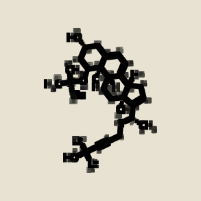 CCC(O)(C#CCS[C@@H](C)C1=CC[C@H]2C3=CC=C4C[C@@H](O)C[C@H](O[Si](C)(C)C(C)(C)C)[C@]4(C)[C@H]3CC[C@]12C)CC